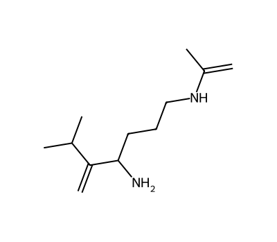 C=C(C)NCCCC(N)C(=C)C(C)C